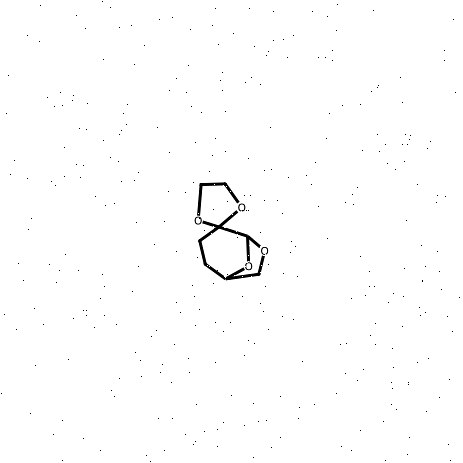 C1COC2(CCC3COC2O3)O1